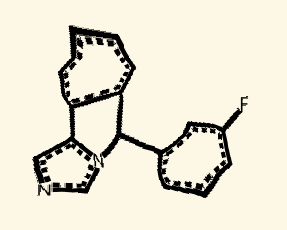 Fc1cccc(C2c3ccccc3-c3cncn32)c1